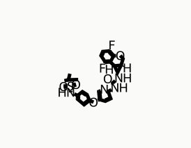 CC(C)(C)S(=O)(=O)Nc1ccc(Oc2ccc(NC(=O)N[C@@H]3[C@@H]4COc5c(F)ccc(F)c5[C@@H]43)nc2)cc1